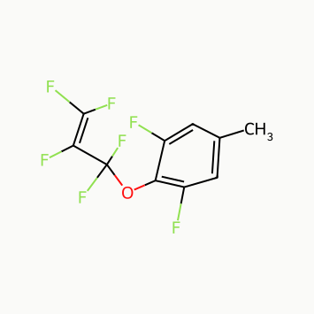 Cc1cc(F)c(OC(F)(F)C(F)=C(F)F)c(F)c1